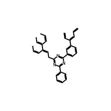 C=C/C=C(\C=C)c1cccc(-c2nc(C/C=C(\C=C/C)C(/C=C\C)=C/C)nc(-c3ccccc3)n2)c1